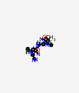 C[C@H]1C(=O)C(C#N)=C[C@@]2(C)c3c(c(-c4ccccc4F)nn3-c3ccc(-c4cnnc(CC[C@H]5C(=O)C(C#N)=C[C@@]6(C)c7c(c(-c8ccccc8F)nn7-c7ccc(-c8cncnc8)cc7)CC[C@H]56)c4)cc3)CC[C@H]12